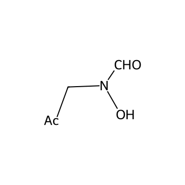 [CH2]C(=O)CN(O)C=O